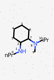 CCCNC1CCCCC1N(C)C(C)C